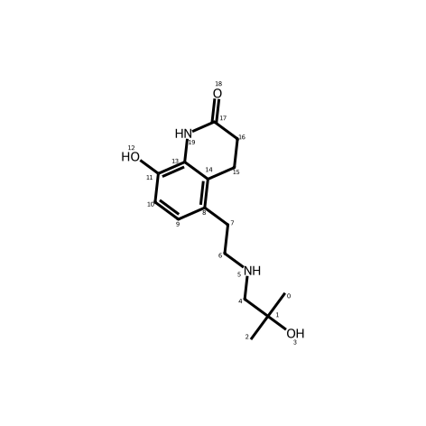 CC(C)(O)CNCCc1ccc(O)c2c1CCC(=O)N2